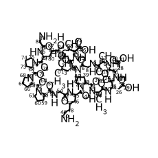 CC(C)C[C@H](NC(=O)CNC(=O)[C@H](C)NC(=O)[C@H](CC(=O)O)NC(=O)[C@H](CC(=O)O)NC(=O)[C@H](C)NC(=O)[C@@H]1CCCN1C(=O)C(CCCCN)NC(=O)CNC(=O)[C@@H]1CCCN1C(=O)[C@@H]1CCCN1C(=O)[C@@H]1CCCN1C(=O)[C@H](CCC(=O)O)NC(=O)CN)C(=O)N[C@H](C(=O)O)C(C)C